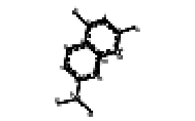 Cc1cc(C)c2ccc(N(C)C)cc2[o+]1